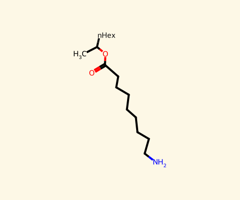 CCCCCCC(C)OC(=O)CCCCCCCCN